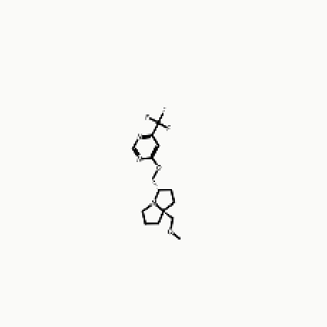 COC[C@@]12CCCN1[C@H](COc1cc(C(F)(F)F)ncn1)CC2